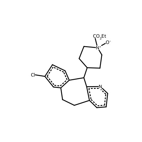 CCOC(=O)[N+]1([O-])CCC(C2c3ccc(Cl)cc3CCc3cccnc32)CC1